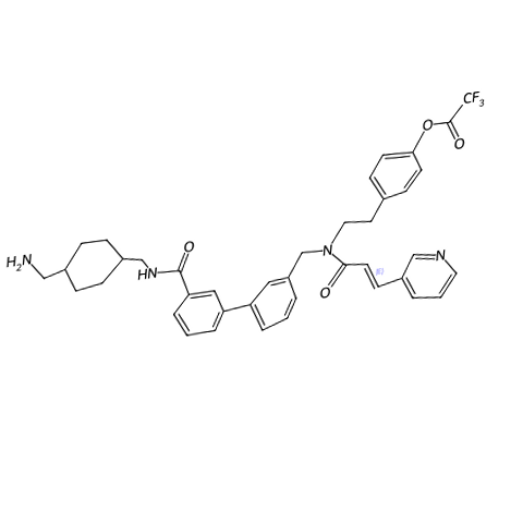 NCC1CCC(CNC(=O)c2cccc(-c3cccc(CN(CCc4ccc(OC(=O)C(F)(F)F)cc4)C(=O)/C=C/c4cccnc4)c3)c2)CC1